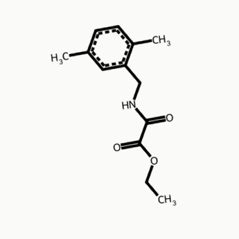 CCOC(=O)C(=O)NCc1cc(C)ccc1C